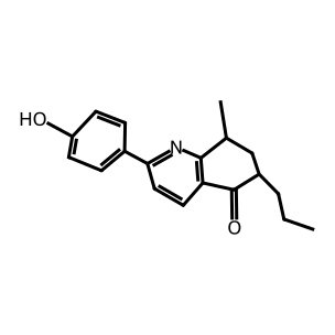 CCCC1CC(C)c2nc(-c3ccc(O)cc3)ccc2C1=O